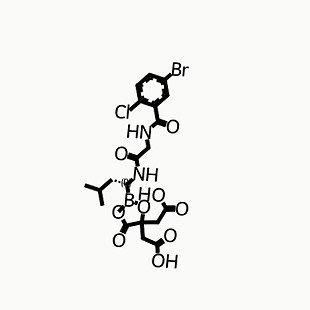 CC(C)C[C@H](NC(=O)CNC(=O)c1cc(Br)ccc1Cl)B1OC(=O)C(CC(=O)O)(CC(=O)O)O1